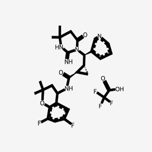 CC1(C)CC(=O)N([C@@H](c2cccnc2)[C@@H]2C[C@H]2C(=O)NC2CC(C)(C)Oc3c(F)cc(F)cc32)C(=N)N1.O=C(O)C(F)(F)F